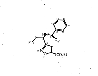 CCOC(=O)C1CC(C(CC(C)C)NC(=O)c2ccccc2)=NO1